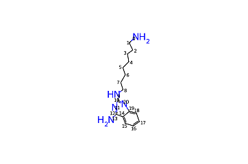 NCCCCCCCCNc1nc(N)c2ccccc2n1